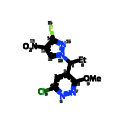 CCC(c1cc(Cl)nnc1OC)n1cc([N+](=O)[O-])c(F)n1